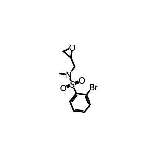 CN(CC1CO1)S(=O)(=O)c1ccccc1Br